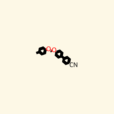 Cc1ccc(OCOc2ccc(-c3ccc(C#N)cc3)cc2)cc1